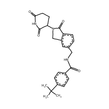 CC(C)(C)c1ccc(C(=O)NCc2ccc3c(c2)CN(C2CCC(=O)NC2=O)C3=O)cc1